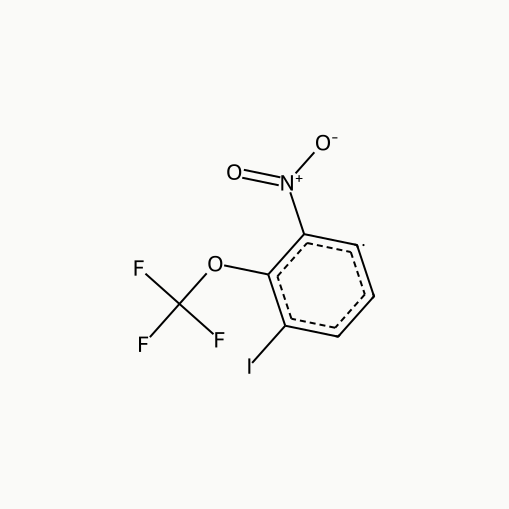 O=[N+]([O-])c1[c]ccc(I)c1OC(F)(F)F